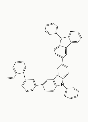 C=Cc1ccccc1-c1cccc(-c2ccc3c(c2)c2cc(-c4ccc5c(c4)c4ccccc4n5-c4ccccc4)ccc2n3-c2ccccc2)c1